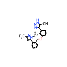 Cn1nc(C(F)(F)F)cc1-c1ccccc1COc1cccc(-c2nn[nH]c2C#N)c1